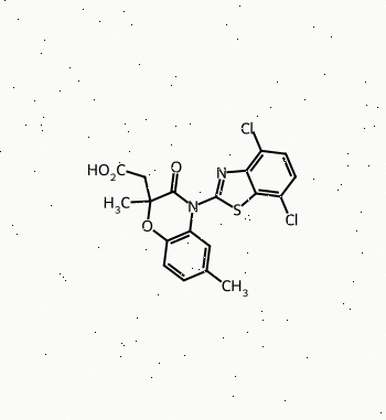 Cc1ccc2c(c1)N(c1nc3c(Cl)ccc(Cl)c3s1)C(=O)C(C)(CC(=O)O)O2